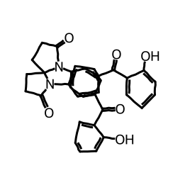 O=C(c1cccc(N2C(=O)CCC23CCC(=O)N3c2cccc(C(=O)c3ccccc3O)c2)c1)c1ccccc1O